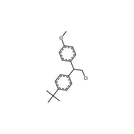 COc1ccc(C(CCl)c2ccc(C(C)(C)C)cc2)cc1